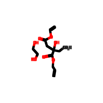 C=CCOC(=O)C(O)(CC(=O)O)CC(=O)OC=C.OCCO